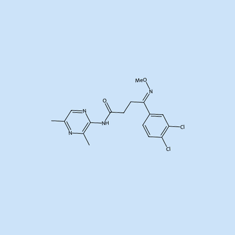 CO/N=C(\CCC(=O)Nc1ncc(C)nc1C)c1ccc(Cl)c(Cl)c1